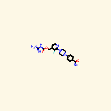 N=C(N)NC(=O)OCc1ccnc(N2CCN(c3ccc(C(N)=O)cc3)CC2)c1F